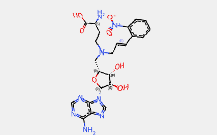 Nc1ncnc2c1ncn2[C@@H]1O[C@H](CN(C/C=C/c2ccccc2[N+](=O)[O-])CC[C@H](N)C(=O)O)[C@H](O)[C@H]1O